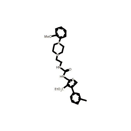 CCOC(=O)c1c(-c2cccc(C)c2)csc1NC(=O)NCCN1CCN(c2ccccc2OC)CC1